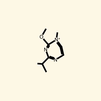 COC1=NC(C(C)C)=NC=C=[N+]1C